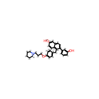 Oc1cccc(-c2ccc3cc(O)ccc3c2Cc2ccc(OCCCN3CCCCC3)cc2)c1